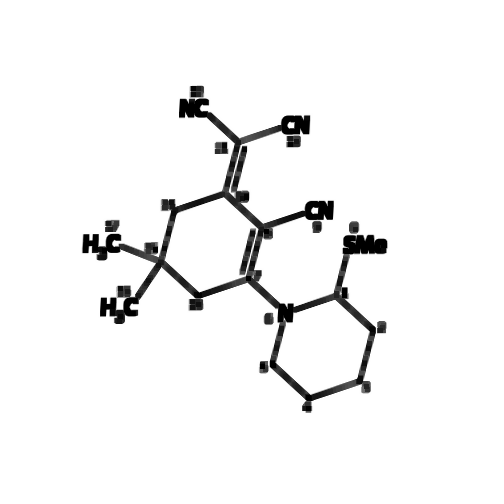 CSC1CCCCN1C1=C(C#N)C(=C(C#N)C#N)CC(C)(C)C1